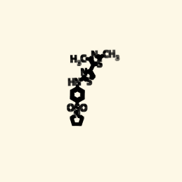 Cc1nc(C)c(-c2csc(Nc3ccc(S(=O)(=O)N4CCCC4)cc3)n2)s1